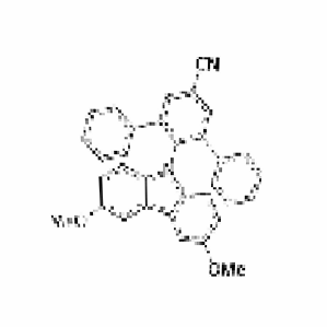 COc1ccc2c(c1)c1cc(OC)ccc1n2-c1c(-c2ccccc2)cc(C#N)cc1-c1ccccc1